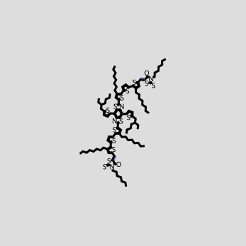 CCCCCCCCc1cc(/C=C2\SC(=S)N(CCCCCCC)C2=O)sc1-c1ccc(-c2sc(-c3nc4c(-c5ccc(CC(CC)CCCC)s5)c5sc(-c6cc(CCCCCCCC)c(-c7ccc(-c8sc(/C=C9\SC(=S)N(CCCCCCC)C9=O)cc8CCCCCCCC)s7)s6)nc5c(-c5ccc(CC(CC)CCCC)s5)c4s3)cc2CCCCCCCC)s1